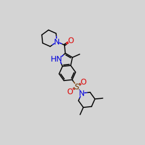 Cc1c(C(=O)N2CCCCC2)[nH]c2ccc(S(=O)(=O)N3CC(C)CC(C)C3)cc12